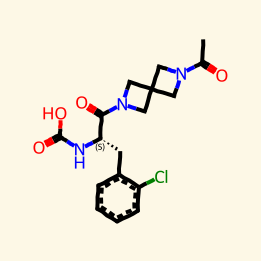 CC(=O)N1CC2(C1)CN(C(=O)[C@H](Cc1ccccc1Cl)NC(=O)O)C2